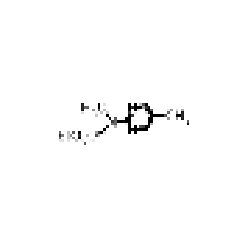 CCOC(=O)CN(C)c1ncc(C)cn1